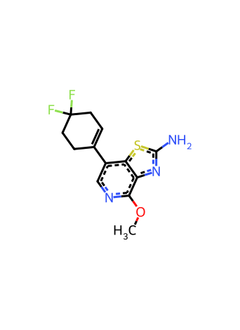 COc1ncc(C2=CCC(F)(F)CC2)c2sc(N)nc12